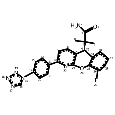 CC(C)(C(N)=O)[C@@H]1c2ccc(-c3ccc(-n4cnnn4)cc3)nc2Oc2c(F)cccc21